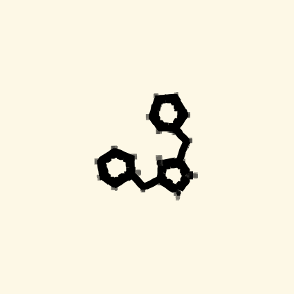 c1ccc(Cc2nnc(Cc3ccccc3)o2)cc1